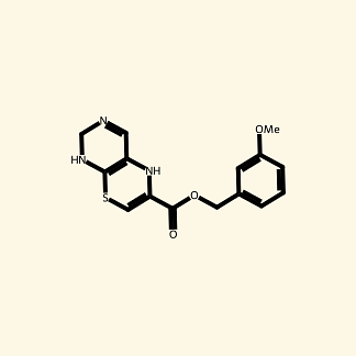 COc1cccc(COC(=O)C2=CSC3=C(C=NCN3)N2)c1